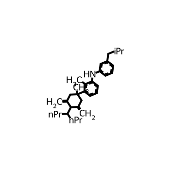 C=C1CC(C)(c2cccc(Nc3cccc(CC(C)C)c3)c2C)CC(=C)C1C(CCC)CCC